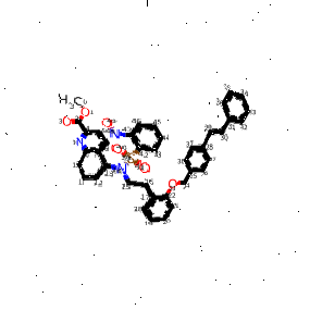 COC(=O)c1ccc2c(n1)CCCC2N(CCc1ccccc1OCc1ccc(CCc2ccccc2)cc1)S(=O)(=O)c1ccccc1N=O